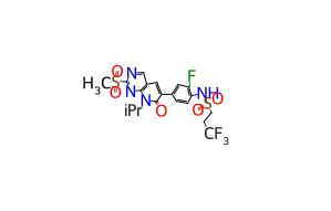 CC(C)n1c(=O)c(-c2ccc(NS(=O)(=O)CCC(F)(F)F)c(F)c2)cc2cnc(S(C)(=O)=O)nc21